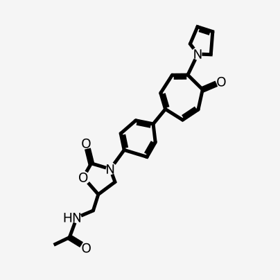 CC(=O)NCC1CN(c2ccc(-c3ccc(N4CC=CC4)c(=O)cc3)cc2)C(=O)O1